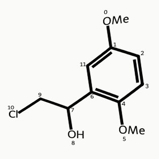 COc1ccc(OC)c(C(O)CCl)c1